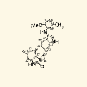 COc1cnc(C)nc1Nc1n[nH]c2cc([C@@H]3C[C@@]34C(=O)Nc3cc(F)ccc34)ccc12